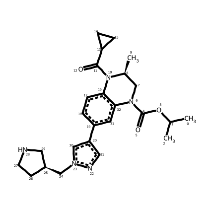 CC(C)OC(=O)N1C[C@H](C)N(C(=O)C2CC2)c2ccc(-c3cnn(C[C@H]4CCNC4)c3)cc21